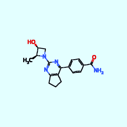 C[C@H]1[C@@H](O)CN1c1nc2c(c(-c3ccc(C(N)=O)cc3)n1)CCC2